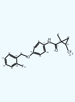 CC1(C(=O)Nc2ccc(OCc3ccccc3F)cc2)CC1C(F)(F)F